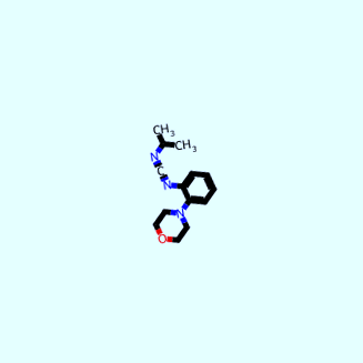 CC(C)N=C=Nc1ccccc1N1CCOCC1